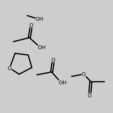 C1CCOC1.CC(=O)O.CC(=O)O.CO.COC(C)=O